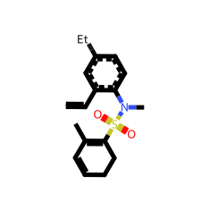 C=Cc1cc(CC)ccc1N(C)S(=O)(=O)C1=C(C)C=CCC1